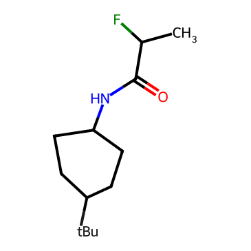 CC(F)C(=O)NC1CCC(C(C)(C)C)CC1